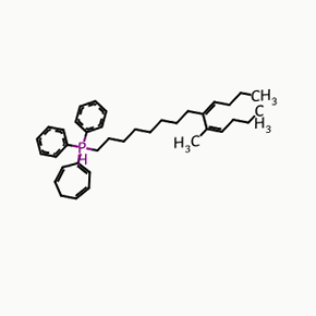 CCC/C=C(C)\C(=C/CCC)CCCCCCCC[PH](C1=CC=CCC=C1)(c1ccccc1)c1ccccc1